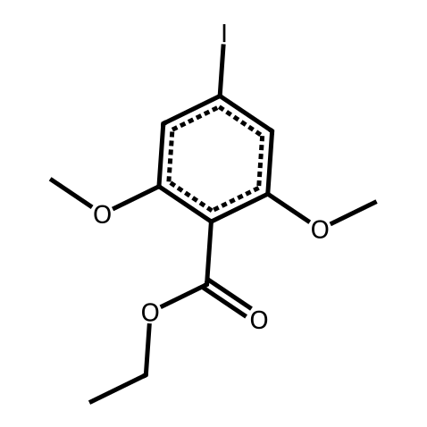 CCOC(=O)c1c(OC)cc(I)cc1OC